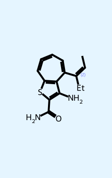 C/C=C(/CC)C1=CC=C=Cc2sc(C(N)=O)c(N)c21